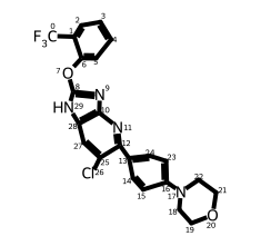 FC(F)(F)c1ccccc1Oc1nc2nc(-c3ccc(N4CCOCC4)cc3)c(Cl)cc2[nH]1